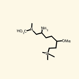 COC(CCC(N)CN(C)C(=O)O)CC[Si](C)(C)C